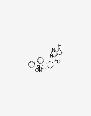 CC(C)(C[C@H]1CC[C@H](C(=O)c2ncnc3[nH]ccc23)CC1)[Si](O)(c1ccccc1)c1ccccc1